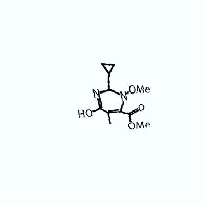 COC(=O)C1=C(C)C(O)=NC(C2CC2)N1OC